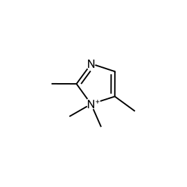 CC1=CN=C(C)[N+]1(C)C